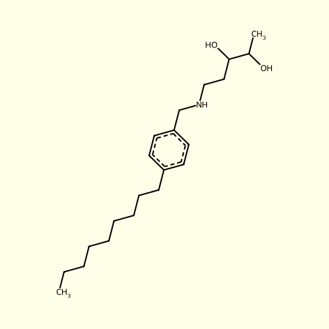 CCCCCCCCCc1ccc(CNCCC(O)C(C)O)cc1